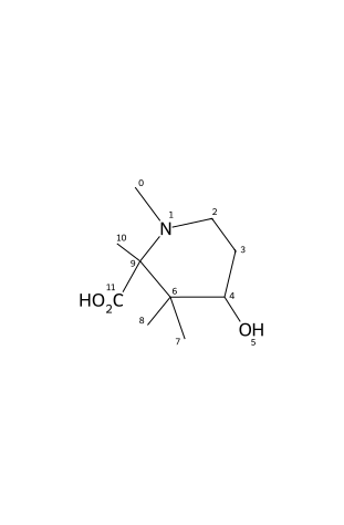 CN1CCC(O)C(C)(C)C1(C)C(=O)O